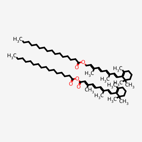 CCCCCCCCCCCCCCCC(=O)OC(=O)/C=C(C)/C=C/C=C(C)/C=C/C1=C(C)CCCC1(C)C.CCCCCCCCCCCCCCCC(=O)OC/C=C(C)/C=C/C=C(C)/C=C/C1=C(C)CCCC1(C)C